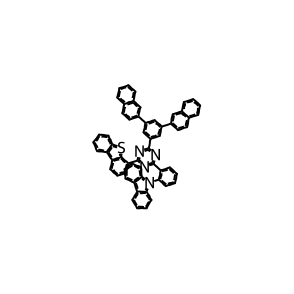 c1ccc(-n2c3ccccc3c3ccccc32)c(-c2nc(-c3cc(-c4ccc5ccccc5c4)cc(-c4ccc5ccccc5c4)c3)nc(-c3cccc4c3sc3ccccc34)n2)c1